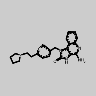 Nc1nc2ccccc2c2c1[nH]c(=O)n2Cc1ccc(CCN2CCCC2)cc1